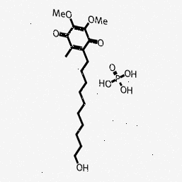 COC1=C(OC)C(=O)C(CCCCCCCCCCO)=C(C)C1=O.O=P(O)(O)O